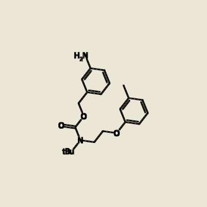 Cc1cccc(OCCN(C(=O)OCc2cccc(N)c2)C(C)(C)C)c1